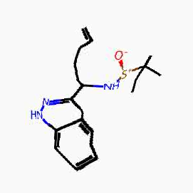 C=CCC(N[S@@+]([O-])C(C)(C)C)c1n[nH]c2ccccc12